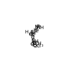 Cc1c(Cl)cccc1S(=O)(=O)CNCCOCC(=O)N(C)Cc1ccc(C2=NCCN2)cc1